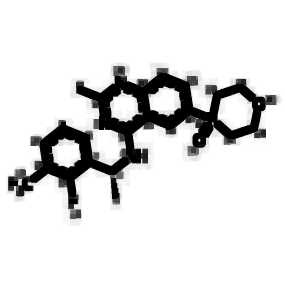 Cc1nc(N[C@H](C)c2cccc(C(F)(F)F)c2F)c2cc(P3(=O)CCOCC3)ccc2n1